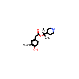 COc1cc(CC(=O)OC(C)(C)C2CCNCC2)ccc1O